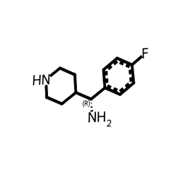 N[C@@H](c1ccc(F)cc1)C1CCNCC1